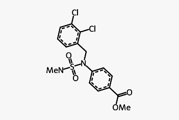 CNS(=O)(=O)N(Cc1cccc(Cl)c1Cl)c1ccc(C(=O)OC)cc1